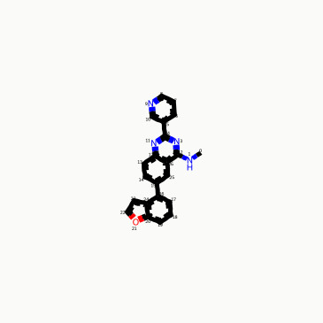 CNc1nc(-c2cccnc2)nc2ccc(-c3cccc4occc34)cc12